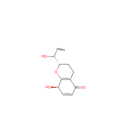 CCCCCCC(O)[C@@H]1CCC2=C(O1)[C@H](O)C=CC2=O